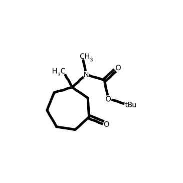 CN(C(=O)OC(C)(C)C)C1(C)CCCCC(=O)C1